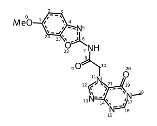 COc1ccc2nc(NC(=O)Cn3cnc4ncn(C)c(=O)c43)oc2c1